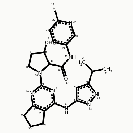 CC(C)c1cc(Nc2nc(N3CCC(O)C3C(=O)Nc3ccc(F)nc3)nc3c2CCC3)n[nH]1